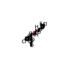 COCCS(=O)(=O)N1CC(C(=O)NC23CC(NC(=O)COc4ccc(Cl)c(F)c4)(C2)C3)Oc2ccc(Cl)cc21